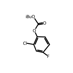 CC(C)COC(=O)Oc1ccc(F)cc1Cl